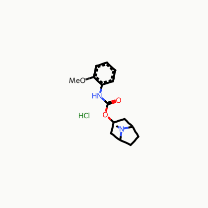 COc1ccccc1NC(=O)OC1CC2CCC(C1)N2C.Cl